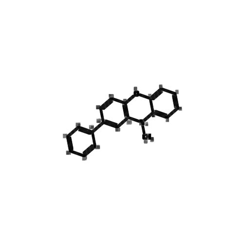 CN1c2ccccc2Oc2ccc(-c3ccccc3)cc21